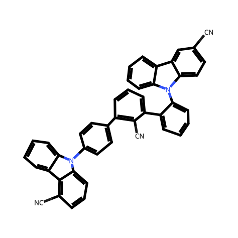 N#Cc1ccc2c(c1)c1ccccc1n2-c1ccccc1-c1cccc(-c2ccc(-n3c4ccccc4c4c(C#N)cccc43)cc2)c1C#N